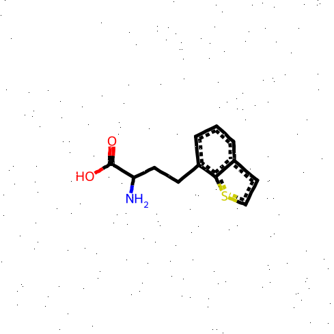 NC(CCc1cccc2ccsc12)C(=O)O